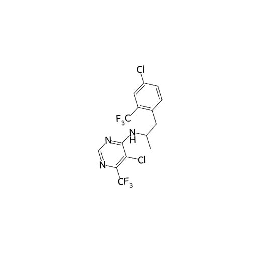 CC(Cc1ccc(Cl)cc1C(F)(F)F)Nc1ncnc(C(F)(F)F)c1Cl